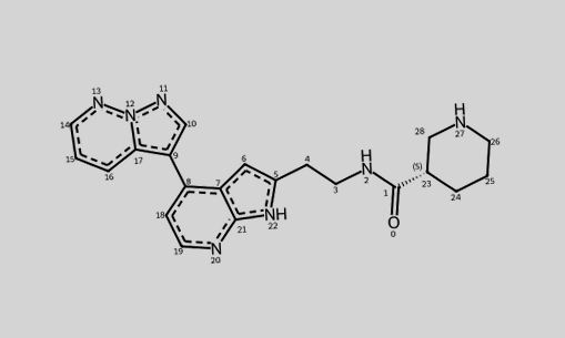 O=C(NCCc1cc2c(-c3cnn4ncccc34)ccnc2[nH]1)[C@H]1CCCNC1